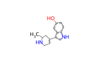 CC1CC(c2c[nH]c3ccc(O)cc23)=CCN1